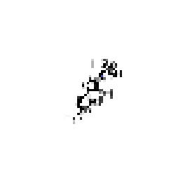 Nc1ccn([C@@H]2OC[C@H](/C=C/P(=O)(O)O)[C@H]2O)c(=O)n1